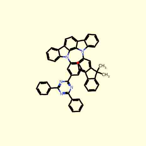 CC1(C)c2ccccc2-c2ccc(-n3c4ccccc4c4ccc5c6ccccc6n(-c6cccc(-c7nc(-c8ccccc8)nc(-c8ccccc8)n7)c6)c5c43)cc21